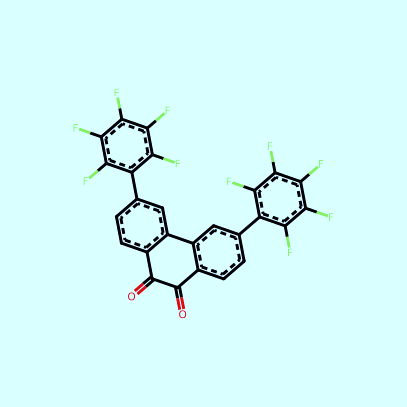 O=C1C(=O)c2ccc(-c3c(F)c(F)c(F)c(F)c3F)cc2-c2cc(-c3c(F)c(F)c(F)c(F)c3F)ccc21